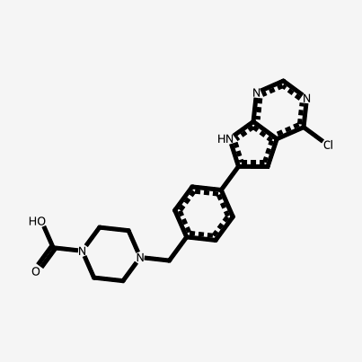 O=C(O)N1CCN(Cc2ccc(-c3cc4c(Cl)ncnc4[nH]3)cc2)CC1